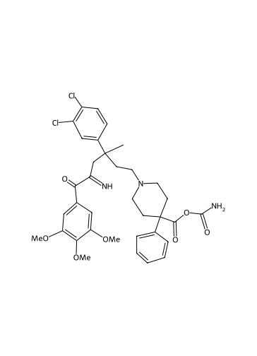 COc1cc(C(=O)C(=N)CC(C)(CCN2CCC(C(=O)OC(N)=O)(c3ccccc3)CC2)c2ccc(Cl)c(Cl)c2)cc(OC)c1OC